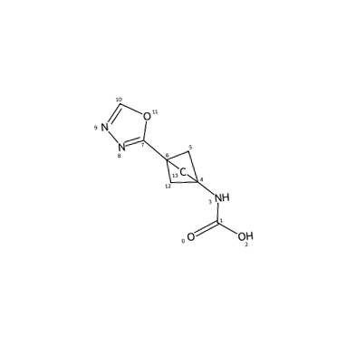 O=C(O)NC12CC(c3nnco3)(C1)C2